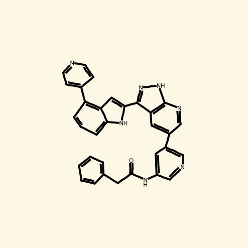 O=C(Cc1ccccc1)Nc1cncc(-c2cnc3[nH]nc(-c4cc5c(-c6ccncc6)cccc5[nH]4)c3c2)c1